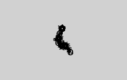 Cc1cc(OCC2CCCCC2)ccc1Oc1ccc2cc(CC=O)ccc2n1